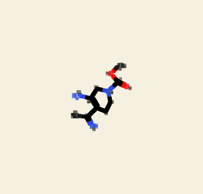 CC(C)(C)OC(=O)N1CCC(C(=N)C#N)=C(N)C1